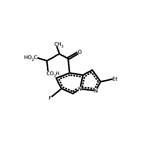 CCc1cc2c(C(=O)C(C)C(C(=O)O)C(=O)O)cc(F)cn2n1